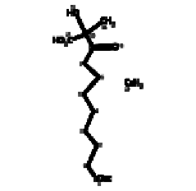 CCCCCCCCCCCCCCCCCC(=O)C(C)(O)C(=O)O.[CaH2]